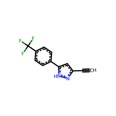 C#Cc1cc(-c2ccc(C(F)(F)F)cc2)[nH]n1